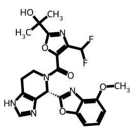 COc1cccc2oc([C@@H]3c4nc[nH]c4CCN3C(=O)c3oc(C(C)(C)O)nc3C(F)F)nc12